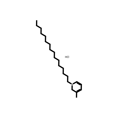 CCCCCCCCCCCCCCCCN1C=CC=C(C)C1.Cl